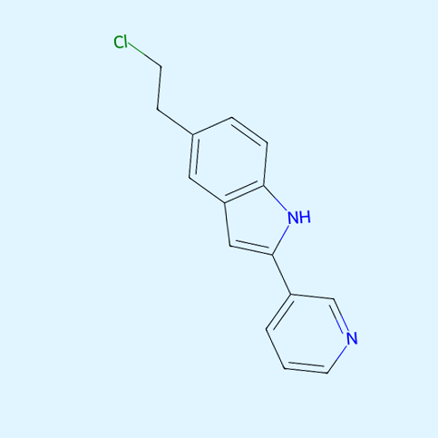 ClCCc1ccc2[nH]c(-c3cccnc3)cc2c1